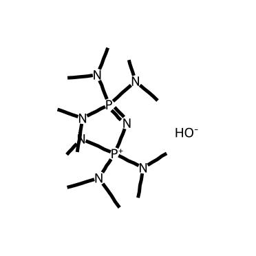 CN(C)P(=N[P+](N(C)C)(N(C)C)N(C)C)(N(C)C)N(C)C.[OH-]